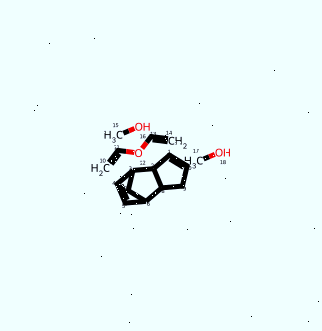 C1=CC2C3C=CC(C3)C2C1.C=COC=C.CO.CO